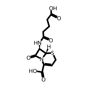 O=C(O)CCCC(=O)N[C@@H]1C(=O)N2C(C(=O)O)=CCS[C@@H]12